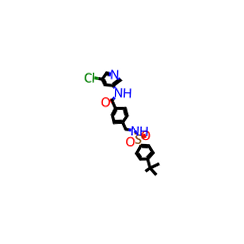 CC(C)(C)c1ccc(S(=O)(=O)NCc2ccc(C(=O)Nc3cncc(Cl)c3)cc2)cc1